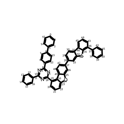 c1ccc(-c2ccc(-c3nc(-c4ccccc4)nc(-c4cccc5oc6cc(-c7ccc8c(c7)sc7c(-c9ccccc9)cccc78)ccc6c45)n3)cc2)cc1